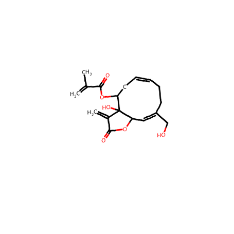 C=C(C)C(=O)OC1CC=CCCC(CO)=CC2OC(=O)C(=C)C21O